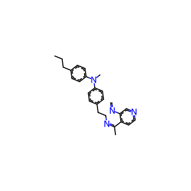 C=Nc1cnccc1/C(C)=N\CCc1ccc(N(C)c2ccc(CCC)cc2)cc1